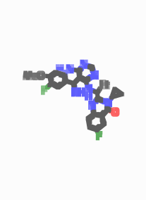 CCC(Nc1ncnc(N)c1C(=N)c1ccc(OC)c(F)c1)c1nc2ccc(F)cc2c(=O)n1C1CC1